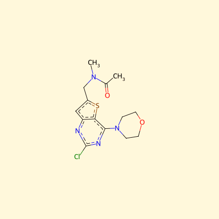 CC(=O)N(C)Cc1cc2nc(Cl)nc(N3CCOCC3)c2s1